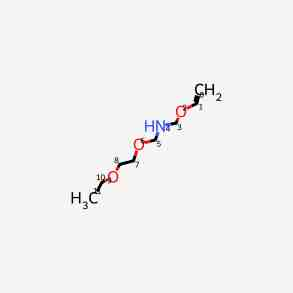 C=COCNCOCCOCC